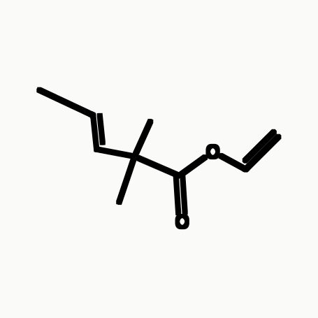 C=COC(=O)C(C)(C)C=CC